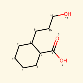 O=C(O)C1CC[CH]CC1CCCO